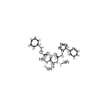 CC(C)C[C@H](NC(=O)[C@H](CC(C)C)NC(=O)OCc1ccccc1)C(=O)Cn1nnnc1-c1ccccn1